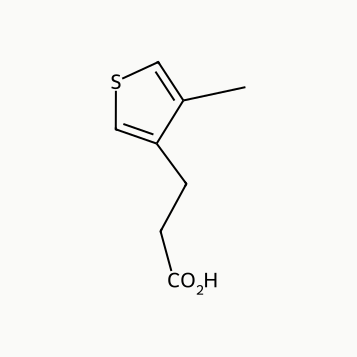 Cc1cscc1CCC(=O)O